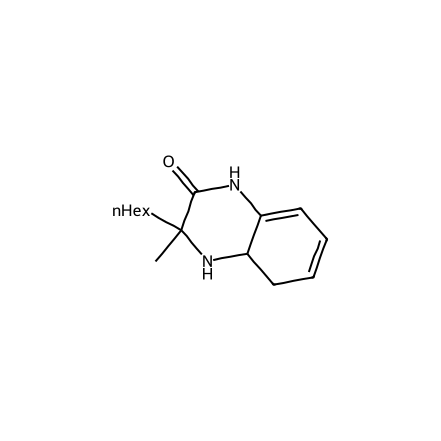 CCCCCCC1(C)NC2CC=CC=C2NC1=O